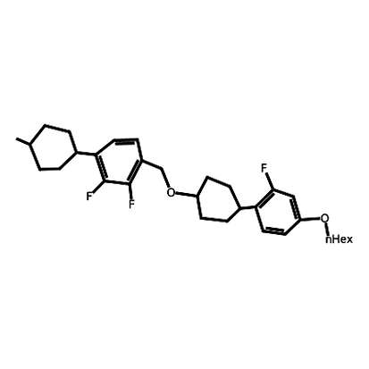 CCCCCCOc1ccc(C2CCC(OCc3ccc(C4CCC(C)CC4)c(F)c3F)CC2)c(F)c1